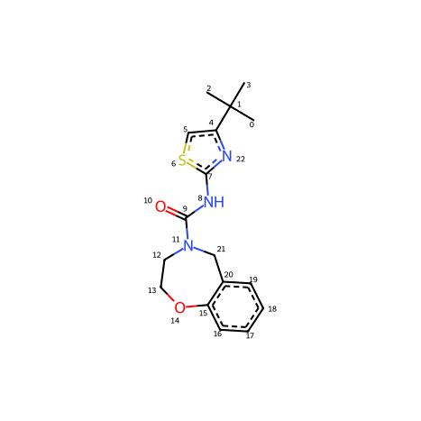 CC(C)(C)c1csc(NC(=O)N2CCOc3ccccc3C2)n1